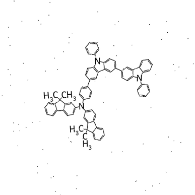 CC1(C)c2ccccc2-c2ccc(N(c3ccc(-c4ccc5c(c4)c4cc(-c6ccc7c(c6)c6ccccc6n7-c6ccccc6)ccc4n5-c4ccccc4)cc3)c3ccc4c(c3)C(C)(C)c3ccccc3-4)cc21